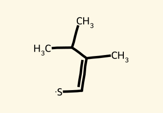 CC(=C[S])C(C)C